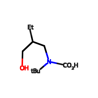 CCC(CO)CN(C(=O)O)C(C)(C)C